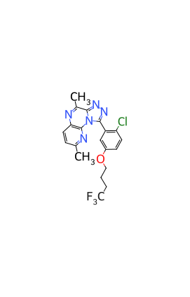 Cc1ccc2nc(C)c3nnc(-c4cc(OCCCC(F)(F)F)ccc4Cl)n3c2n1